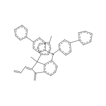 C=C/C=C1\C(=C)c2cccc(N(c3ccc(-c4ccccc4)cc3)c3ccc(-c4ccccc4)cc3)c2C1(C)c1ccc(C)cc1